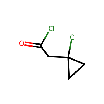 O=C(Cl)CC1(Cl)CC1